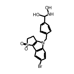 O=S1(=O)CCc2c1c1cc(Br)ccc1n2Cc1ccc(C(O)NO)cc1